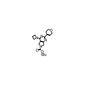 CC(C)(C)OC(=O)N1Cc2nc(C3=CCOCC3)nc(N3CCC3)c2C1